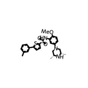 COc1ccc(N2C[C@@H](C)N[C@@H](C)C2)cc1NS(=O)(=O)c1ccc(-c2cccc(C)c2)s1